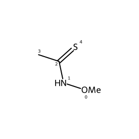 CONC(C)=S